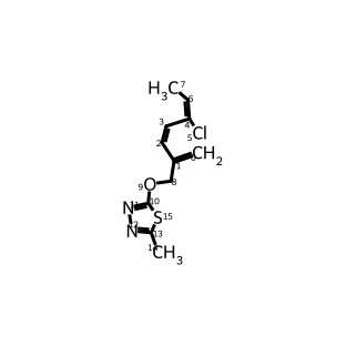 C=C(/C=C\C(Cl)=C/C)COc1nnc(C)s1